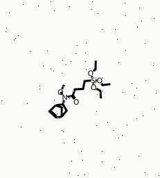 CCO[Si](CCCC(=O)N(OC)C1CC2C=CC1C2)(OCC)OCC